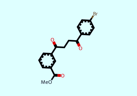 COC(=O)c1cccc(C(=O)CCC(=O)c2ccc(Br)cc2)c1